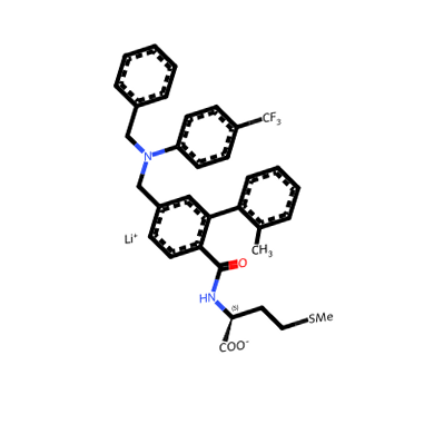 CSCC[C@H](NC(=O)c1ccc(CN(Cc2ccccc2)c2ccc(C(F)(F)F)cc2)cc1-c1ccccc1C)C(=O)[O-].[Li+]